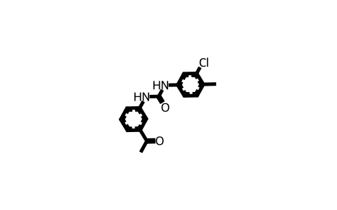 CC(=O)c1cccc(NC(=O)Nc2ccc(C)c(Cl)c2)c1